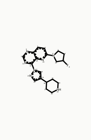 FC1CCN(c2ccc3ncnc(-n4cc(C5CCNCC5)cn4)c3n2)C1